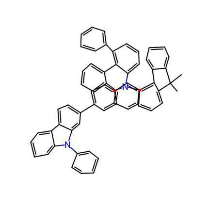 CC1(C)c2ccccc2-c2c(N(c3ccc(-c4ccc5c6ccccc6n(-c6ccccc6)c5c4)cc3)c3cccc(-c4ccccc4)c3-c3ccccc3-c3ccccc3)cccc21